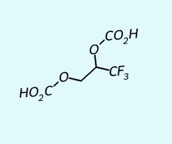 O=C(O)OCC(OC(=O)O)C(F)(F)F